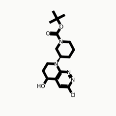 CC(C)(C)OC(=O)N1CCC[C@@H](N2CCC(O)c3cc(Cl)nnc32)C1